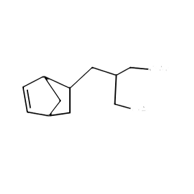 CC(=O)OCC(COC(C)=O)CC1CC2C=CC1C2